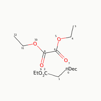 CCCCCCCCCCCC(=O)OCC.CCOC(=O)C(=O)OCC